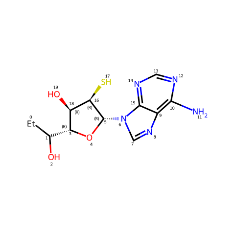 CCC(O)[C@H]1O[C@@H](n2cnc3c(N)ncnc32)[C@H](S)[C@@H]1O